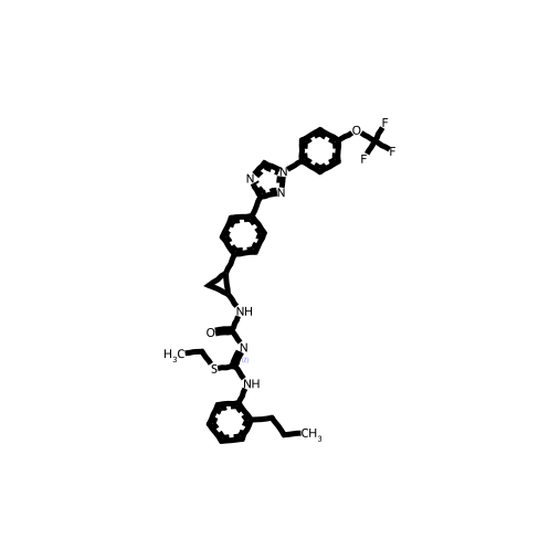 CCCc1ccccc1N/C(=N/C(=O)NC1CC1c1ccc(-c2ncn(-c3ccc(OC(F)(F)F)cc3)n2)cc1)SCC